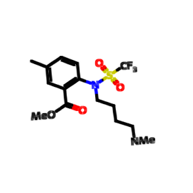 CNCCCCN(c1ccc(C)cc1C(=O)OC)S(=O)(=O)C(F)(F)F